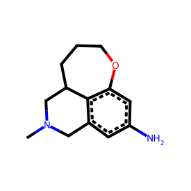 CN1Cc2cc(N)cc3c2C(CCCO3)C1